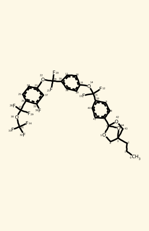 CCCC12COC(c3ccc(C(F)(F)Oc4ccc(C(F)(F)Oc5ccc(C(F)(F)OC(F)(F)F)c(F)c5)cc4)cc3)(OC1)O2